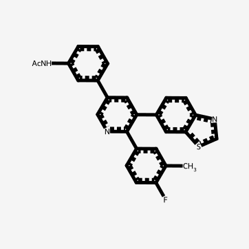 CC(=O)Nc1cccc(-c2cnc(-c3ccc(F)c(C)c3)c(-c3ccc4ncsc4c3)c2)c1